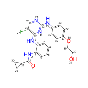 O=C(Nc1ccccc1Nc1nc(Nc2ccc(OCCO)cc2)ncc1F)C1CC1